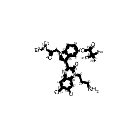 CCN(CC)C(=O)Cn1cc(-c2nc3cc(Cl)c(Cl)cc3n(CCCN)c2=O)c2ccccc21.O=C(O)C(F)(F)F